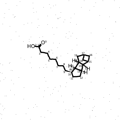 O=C(O)CCCCCCC[C@@H]1CC[C@@H]2[C@H]3C4CC(C4)C[C@H]3[C@H]12